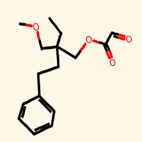 CCC(CCc1ccccc1)(COC)COC(=O)C=O